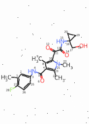 Cc1cc(NC(=O)c2c(C)c(C(=O)C(=O)NC3(CO)CC3)n(C)c2C)ccc1F